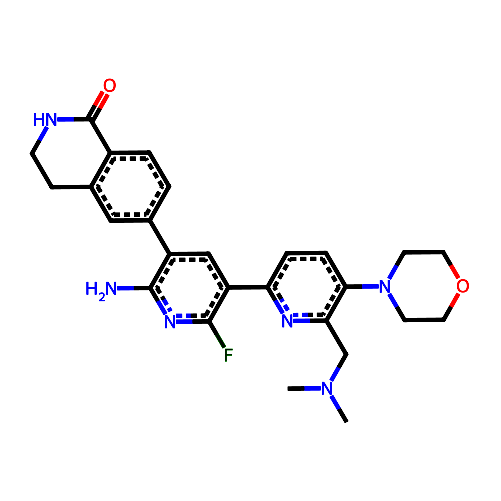 CN(C)Cc1nc(-c2cc(-c3ccc4c(c3)CCNC4=O)c(N)nc2F)ccc1N1CCOCC1